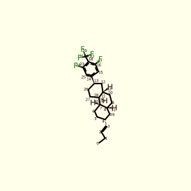 CCC=C[C@@H]1CC[C@H]2[C@H](CC[C@H]3C[C@H](c4cc(F)c(C(F)(F)F)c(F)c4)CC[C@@H]32)C1